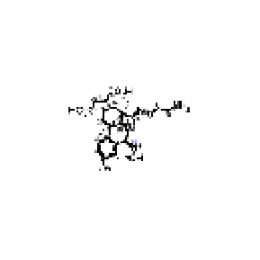 CC(C)c1ccc2c(c1)/C(=N\O)C[C@H]1[C@](C)(/C=N/OCCN)CCC[C@]21C.O=C(O)/C=C/C(=O)O